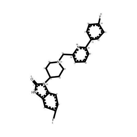 O=c1[nH]c2cc(F)ccc2n1C1CCN(Cc2cccc(-c3ccc(F)cc3)n2)CC1